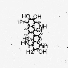 Cc1cc2c(C(C)C)c(O)c(O)c(C=N)c2c(O)c1-c1c(C)cc2c(C(C)C)c(O)c(O)c(C=N)c2c1O